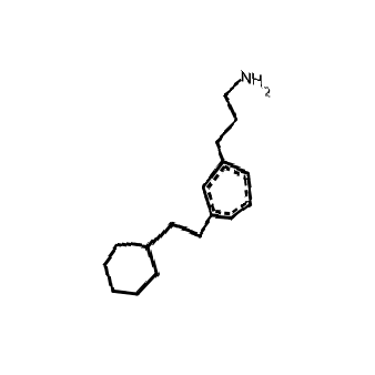 NCCCc1cccc(CCC2CCCCC2)c1